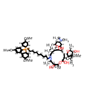 CC[C@H]1OC(O)[C@H](C)[C@@H](C2C[C@@](C)(OC)[C@@H](O)[C@H](C)O2)C[C@@H](O[C@H]2C[C@@H](N(C)C)C[C@@H](C)O2)[C@](C)(O)C[C@@H](C)CN(CCCCCCCCCC[PH](c2ccc(OC)cc2)(c2ccc(OC)cc2)c2ccc(OC)cc2)[C@H](C)C[C@]1(C)O